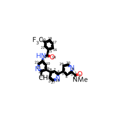 CNC(=O)c1cc(-c2cc(-c3cc(NC(=O)c4cccc(C(F)(F)F)c4)cnc3C)ccn2)ccn1